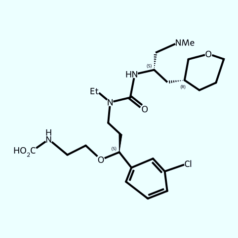 CCN(CC[C@H](OCCNC(=O)O)c1cccc(Cl)c1)C(=O)N[C@H](CNC)C[C@H]1CCCOC1